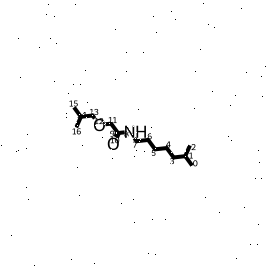 CC(C)CCCCCNC(=O)COCC(C)C